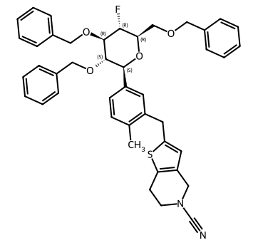 Cc1ccc([C@@H]2O[C@H](COCc3ccccc3)[C@@H](F)[C@H](OCc3ccccc3)[C@H]2OCc2ccccc2)cc1Cc1cc2c(s1)CCN(C#N)C2